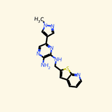 Cn1cc(-c2cnc(N)c(NCc3cc4cccnc4s3)n2)cn1